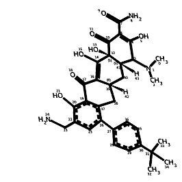 CN(C)C1C(O)=C(C(N)=O)C(=O)[C@@]2(O)C(O)=C3C(=O)c4c(O)c(CN)cc(-c5ccc(C(C)(C)C)cc5)c4C[C@H]3C[C@@H]12